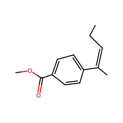 CC/C=C(/C)c1ccc(C(=O)OC)cc1